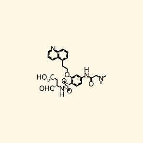 CN(C)CC(=O)Nc1ccc(S(=O)(=O)N[C@H](C=O)CC(=O)O)c(OCCc2cccc3ncccc23)c1